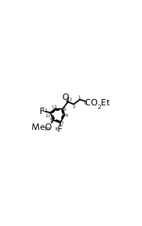 CCOC(=O)CCC(=O)c1cc(F)c(OC)c(F)c1